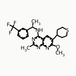 COc1nc2nc(C)nc(N[C@H](C)c3cccc(C(F)(F)F)c3)c2cc1C1CCSCC1